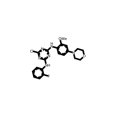 COc1cc(N2CCOCC2)ccc1Nc1nc(Cl)nc(Nc2ccccc2F)n1